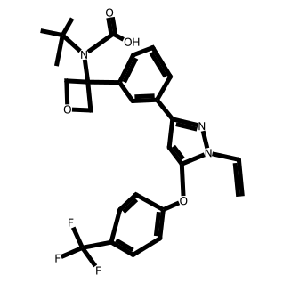 C=Cn1nc(-c2cccc(C3(N(C(=O)O)C(C)(C)C)COC3)c2)cc1Oc1ccc(C(F)(F)F)cc1